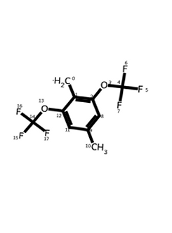 [CH2]c1c(OC(F)(F)F)cc(C)cc1OC(F)(F)F